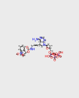 CC(OC(=O)NCC#Cc1cn([C@H]2CC[C@@H](COP(=O)(O)OP(=O)(O)OP(=O)(O)O)O2)c2ncnc(N)c12)c1ccccc1[N+](=O)[O-]